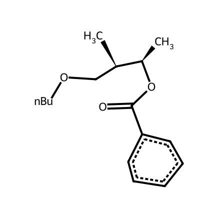 CCCCOC[C@@H](C)[C@@H](C)OC(=O)c1ccccc1